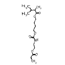 C=CC(=O)OCCNC(=O)OCCCCOC(=O)C(C)C(C)C